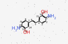 Nc1ccc(C=Cc2ccc(N)c(O)c2)cc1O